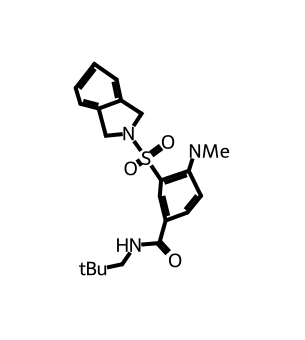 CNc1ccc(C(=O)NCC(C)(C)C)cc1S(=O)(=O)N1Cc2ccccc2C1